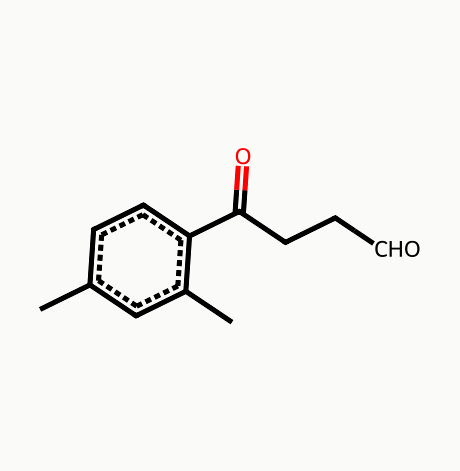 Cc1ccc(C(=O)CCC=O)c(C)c1